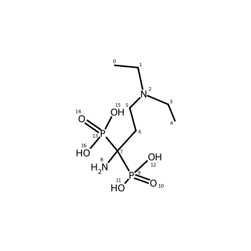 CCN(CC)CCC(N)(P(=O)(O)O)P(=O)(O)O